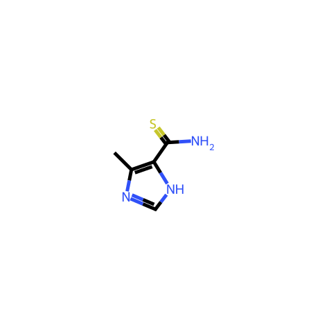 Cc1nc[nH]c1C(N)=S